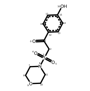 O=C(CS(=O)(=O)N1CCOCC1)c1ccc(O)cc1